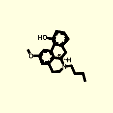 CCCCN1CCc2cc(OC)cc3c2[C@H]1Cc1cccc(O)c1-3